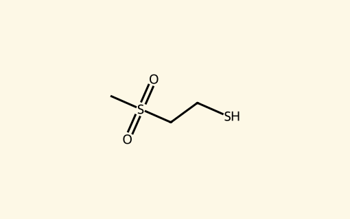 CS(=O)(=O)CCS